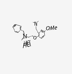 COc1ccc(OCCN(C)Cc2ccccc2)c(CN(C)C)c1.Cl.Cl